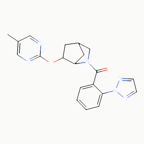 Cc1cnc(OC2CC3CC2N(C(=O)c2ccccc2-n2nccn2)C3)nc1